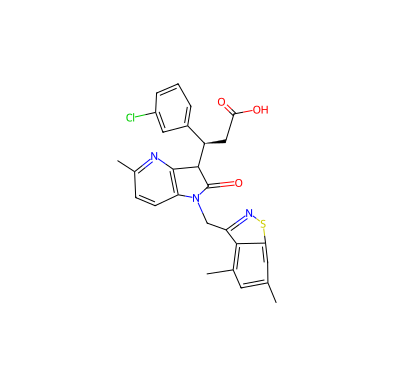 Cc1cc(C)c2c(CN3C(=O)C([C@H](CC(=O)O)c4cccc(Cl)c4)c4nc(C)ccc43)nsc2c1